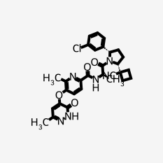 Cc1cc(Oc2ccc(C(=O)N[C@H](C)C(=O)N3[C@H](c4cccc(Cl)c4)CC[C@@H]3C3(C#N)CCC3)nc2C)c(=O)[nH]n1